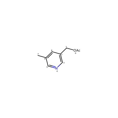 CC(=O)OCc1cncc(C)c1